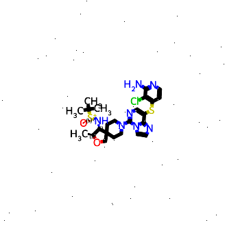 C[C@@H]1OCC2(CCN(c3ncc(Sc4ccnc(N)c4Cl)c4nccn34)CC2)[C@@H]1N[S@+]([O-])C(C)(C)C